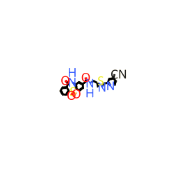 N#Cc1ccnc(-c2ncc(CNC(=O)c3ccc4c(c3)NC(=O)c3ccccc3S4(=O)=O)s2)c1